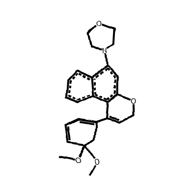 COC1(OC)C=CC=C(C2=CCOc3cc(N4CCOCC4)c4ccccc4c32)C1